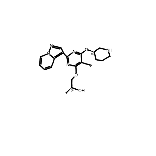 C[C@H](O)COc1nc(-c2cnn3ccccc23)nc(O[C@@H]2CCCNC2)c1F